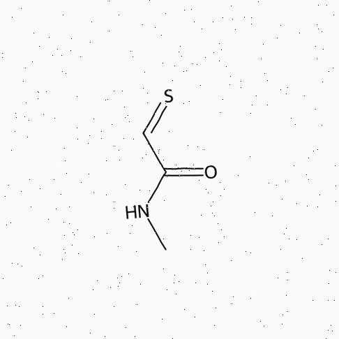 CNC(=O)C=S